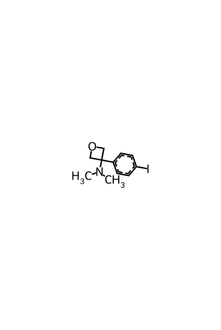 CN(C)C1(c2ccc(I)cc2)COC1